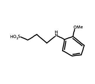 COc1ccccc1NCCCS(=O)(=O)O